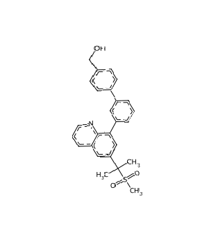 CC(C)(c1cc(-c2cccc(-c3ccc(CO)cc3)c2)c2ncccc2c1)S(C)(=O)=O